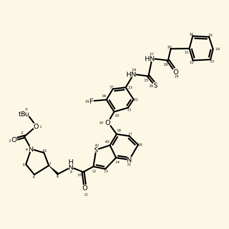 CC(C)(C)OC(=O)N1CC[C@H](CNC(=O)c2cc3nccc(Oc4ccc(NC(=S)NC(=O)Cc5ccccc5)cc4F)c3s2)C1